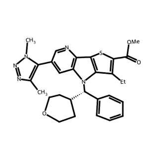 CCc1c(C(=O)OC)sc2c3ncc(-c4c(C)nnn4C)cc3n([C@H](c3ccccc3)C3CCOCC3)c12